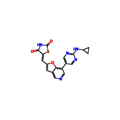 O=C1NC(=O)C(=Cc2cc3cncc(-c4cnc(NC5CC5)nc4)c3o2)S1